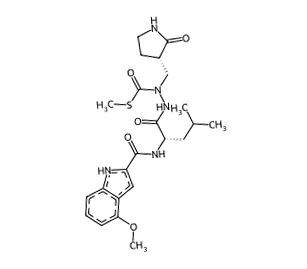 COc1cccc2[nH]c(C(=O)N[C@@H](CC(C)C)C(=O)NN(C[C@@H]3CCNC3=O)C(=O)SC)cc12